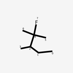 CCC(C)C(C)(C)F